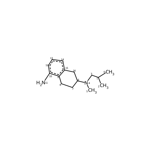 CC(C)CN(C)C1CCc2c(N)cccc2C1